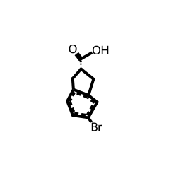 O=C(O)[C@H]1Cc2ccc(Br)cc2C1